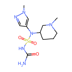 CN1CCCC(N(c2cnn(C)c2)S(=O)(=O)NC(N)=O)C1